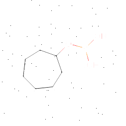 OP(O)OC1CCCCCC1